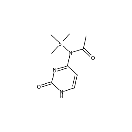 CC(=O)N(c1cc[nH]c(=O)n1)[Si](C)(C)C